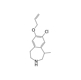 C=CCOc1cc2c(cc1Cl)C(C)CNCC2